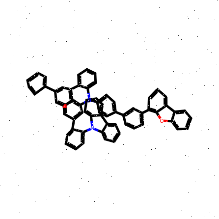 c1ccc(-c2cccc(-c3ccccc3N(c3ccc(-c4cccc(-c5cccc6c5oc5ccccc56)c4)cc3)c3cccc(-c4ccccc4-n4c5ccccc5c5ccccc54)c3)c2)cc1